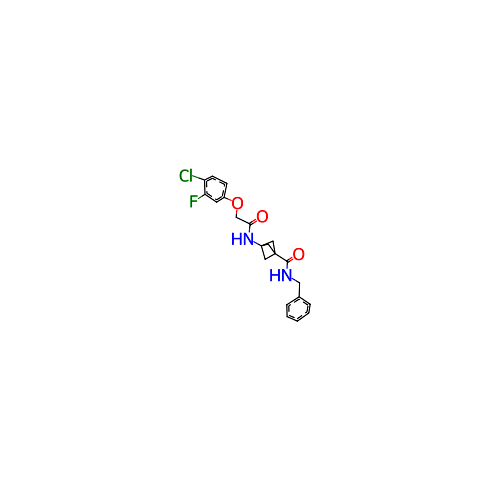 O=C(COc1ccc(Cl)c(F)c1)NC12CC(C(=O)NCc3ccccc3)(C1)C2